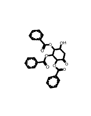 O=C(OC1C(=O)CC(O)C(OC(=O)c2ccccc2)C1OC(=O)c1ccccc1)c1ccccc1